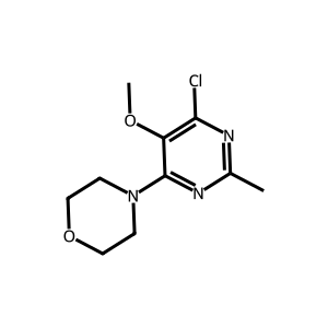 COc1c(Cl)nc(C)nc1N1CCOCC1